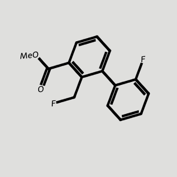 COC(=O)c1cccc(-c2ccccc2F)c1CF